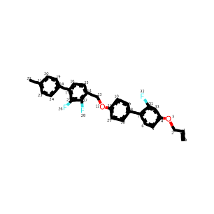 C=CCOc1ccc(-c2ccc(OCc3ccc(-c4ccc(C)cc4)c(F)c3F)cc2)c(F)c1